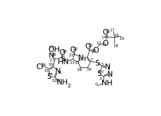 CNc1nnc(SC2=C(C(=O)OCOC(=O)C(C)(C)C)N3C(=O)C(NC(=O)/C(=N\O)c4nc(N)sc4Cl)C3CC2)s1